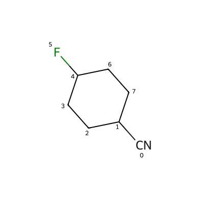 N#CC1CCC(F)CC1